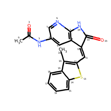 CC(=O)Nc1cnc2c(c1)C(=Cc1sc3ccccc3c1C)C(=O)N2